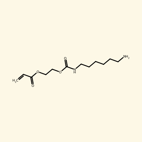 C=CC(=O)OCCOC(=O)NCCCCCCN